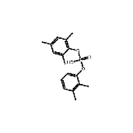 Cc1cc(C)c(OP(=O)(O)Oc2cccc(C)c2C)c(C)c1